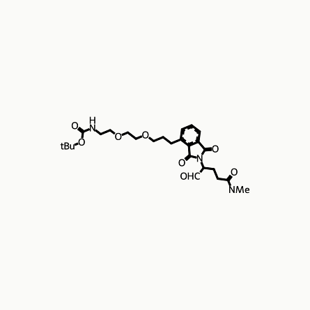 CNC(=O)CCC(C=O)N1C(=O)c2cccc(CCCOCCOCCNC(=O)OC(C)(C)C)c2C1=O